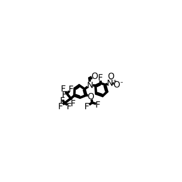 O=CN(c1ccc(C(F)(C(F)(F)F)C(F)(F)F)cc1OC(F)F)c1cccc([N+](=O)[O-])c1F